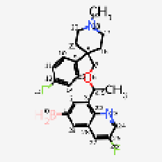 Bc1cc(C(C)OCC2(c3ccc(F)cc3)CCN(C)CC2)c2ncc(F)cc2c1